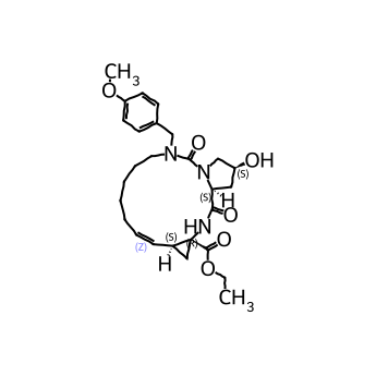 CCOC(=O)[C@@]12C[C@H]1/C=C\CCCCCN(Cc1ccc(OC)cc1)C(=O)N1C[C@@H](O)C[C@H]1C(=O)N2